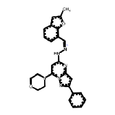 Cc1cc2cccc(/C=N\Nc3cc(N4CCOCC4)n4nc(-c5ccccc5)cc4n3)c2o1